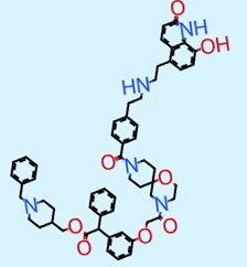 O=C(OCC1CCN(Cc2ccccc2)CC1)C(c1ccccc1)c1cccc(OCC(=O)N2CCOC3(CCN(C(=O)c4ccc(CCNCCc5ccc(O)c6[nH]c(=O)ccc56)cc4)CC3)C2)c1